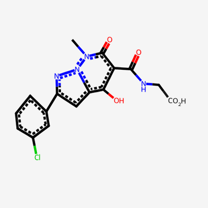 Cn1c(=O)c(C(=O)NCC(=O)O)c(O)c2cc(-c3cccc(Cl)c3)nn21